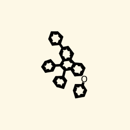 c1ccc(Oc2ccc3c(c2)c(-c2ccccc2)c(-c2ccccc2)c2cc(-c4ccccc4)ccc23)cc1